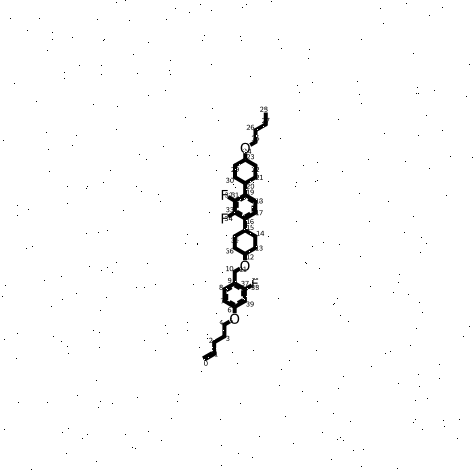 C=CCCCOc1ccc(COC2CCC(c3ccc(C4CCC(OCCCC)CC4)c(F)c3F)CC2)c(F)c1